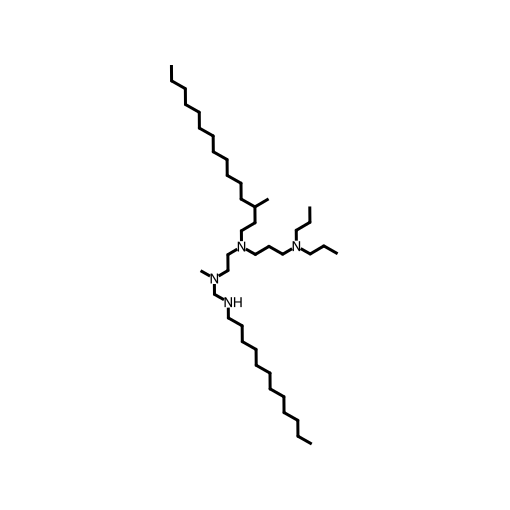 CCCCCCCCCCCCNCN(C)CCN(CCCN(CCC)CCC)CCC(C)CCCCCCCCCCCC